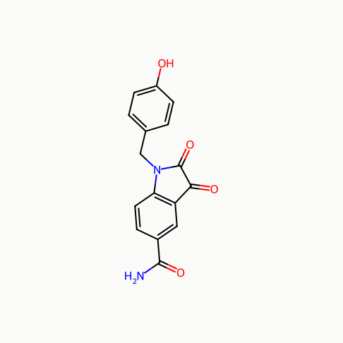 NC(=O)c1ccc2c(c1)C(=O)C(=O)N2Cc1ccc(O)cc1